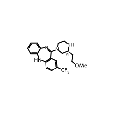 COCC[C@H]1CN(C2=Nc3ccccc3Nc3ccc(C(F)(F)F)cc32)CCN1